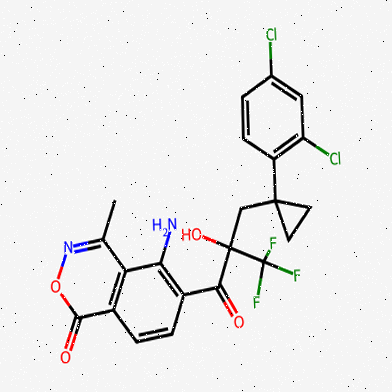 Cc1noc(=O)c2ccc(C(=O)C(O)(CC3(c4ccc(Cl)cc4Cl)CC3)C(F)(F)F)c(N)c12